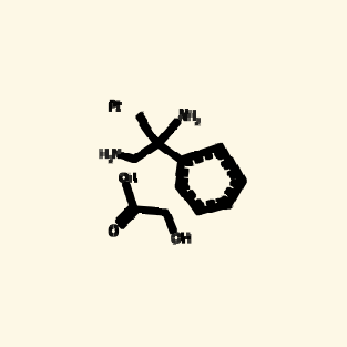 CC(N)(CN)c1ccccc1.O=C(O)CO.[Pt]